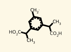 [CH2]c1cc(C(C)C(=O)O)cc(C(C)C(=O)O)c1